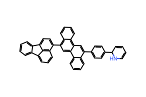 C1=CNC(c2ccc(-c3cc4c5ccccc5c(-c5ccc6c7c(cccc57)-c5ccccc5-6)cc4c4ccccc34)cc2)C=C1